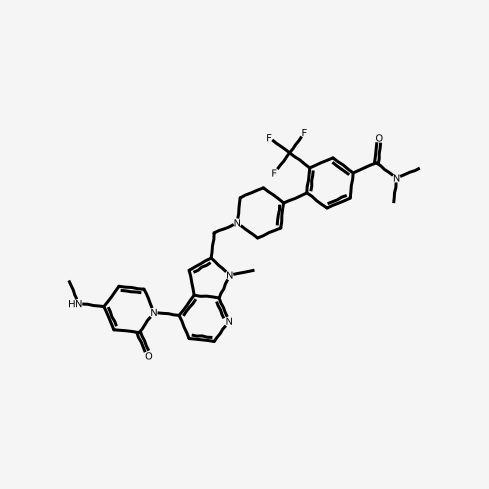 CNc1ccn(-c2ccnc3c2cc(CN2CC=C(c4ccc(C(=O)N(C)C)cc4C(F)(F)F)CC2)n3C)c(=O)c1